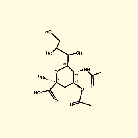 CC(=O)N[C@@H]1[C@@H](OC(C)=O)C[C@@](O)(C(=O)O)O[C@H]1C(O)C(O)CO